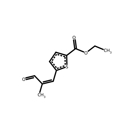 CCOC(=O)c1ccc(C=C(C)C=O)s1